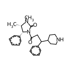 C[C@H]1[C@@H](c2ccccc2)N(C(=O)CC(c2ccccc2)C2CCNCC2)C(=O)N1C